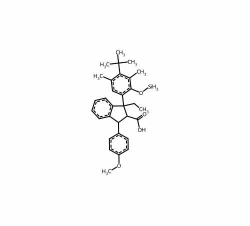 CCC1(c2cc(C)c(C(C)(C)C)c(C)c2O[SiH3])c2ccccc2C(c2ccc(OC)cc2)C1C(=O)O